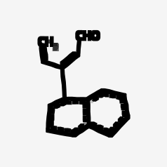 C=CC(=CC=O)c1cccc2ccccc12